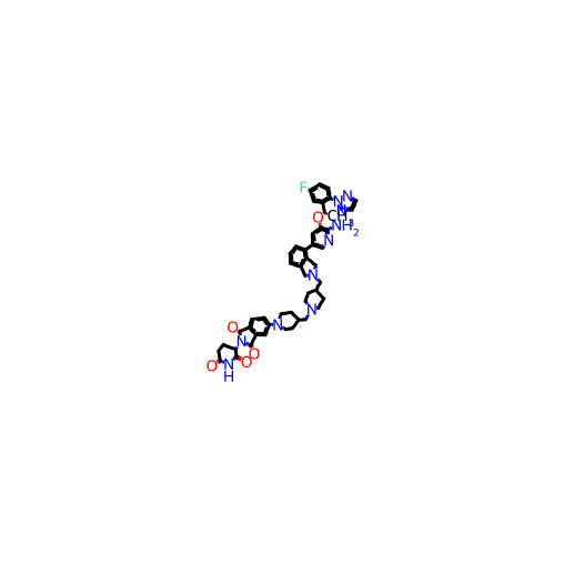 C[C@@H](Oc1cc(-c2cccc3c2CN(CC2CCN(CC4CCN(c5ccc6c(c5)C(=O)N(C5CCC(=O)NC5=O)C6=O)CC4)CC2)C3)cnc1N)c1cc(F)ccc1-n1nccn1